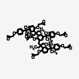 CCC(CC)(Cc1cc(C(C)(C)c2ccc(OCC3CO3)cc2)cc(C(CC)(CC)c2cc(C(C)(C)c3ccc(OCC4CO4)cc3)ccc2OCC2CO2)c1OCC1CO1)c1cc(C(C)(C)c2ccc(OCC3CO3)cc2)ccc1OCC1CO1